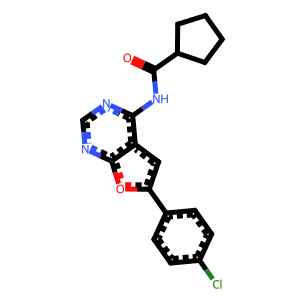 O=C(Nc1ncnc2oc(-c3ccc(Cl)cc3)cc12)C1CCCC1